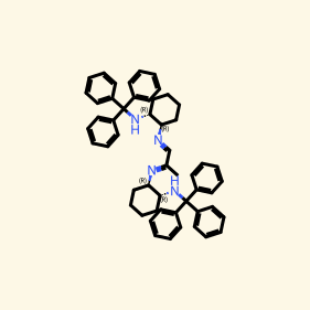 CC(C=N[C@@H]1CCCC[C@H]1NC(c1ccccc1)(c1ccccc1)c1ccccc1)=N[C@@H]1CCCC[C@H]1NC(c1ccccc1)(c1ccccc1)c1ccccc1